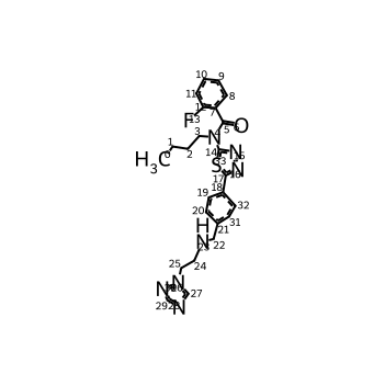 CCCCN(C(=O)c1ccccc1F)c1nnc(-c2ccc(CNCCn3cncn3)cc2)s1